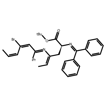 C\C=C/C(Br)=C\C(=N\C(=C/C)C[C@H](N=C(c1ccccc1)c1ccccc1)C(=O)OC(C)(C)C)C(C)C